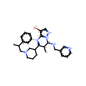 CC(CN1CCCC(C2=Nc3c(Br)cnn3C(NCc3cccnc3)C2C)C1)c1ccccc1